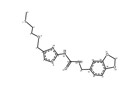 CSCCOCc1csc(NC(=O)NCc2ccc3c(c2)OCO3)n1